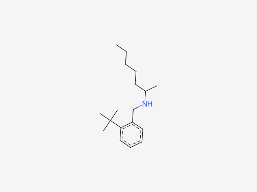 CCCCCC(C)NCc1ccccc1C(C)(C)C